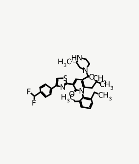 CCc1cccc(CC)c1-n1c(CC(C)C)c(C(=O)N2CCN[C@@H](C)C2)cc(-c2nc(-c3ccc(C(F)F)cc3)cs2)c1=O